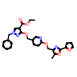 CCOC(=O)c1cn(Cc2ccccc2)nc1OCc1ccc(OCc2nc(-c3ccco3)oc2C)nc1